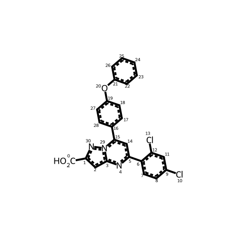 O=C(O)c1cc2nc(-c3ccc(Cl)cc3Cl)cc(-c3ccc(Oc4ccccc4)cc3)n2n1